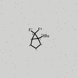 CC(C)(C)C12CCCC1C2(F)F